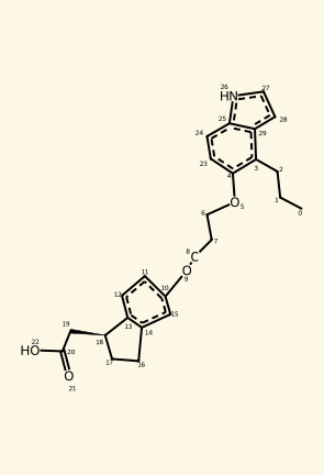 CCCc1c(OCCCOc2ccc3c(c2)CC[C@H]3CC(=O)O)ccc2[nH]ccc12